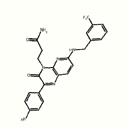 CCCc1ccc(-c2nc3ccc(NCc4cccc(C(F)(F)F)c4)nc3n(CCC(N)=O)c2=O)cc1